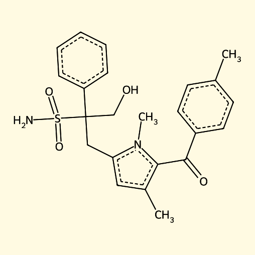 Cc1ccc(C(=O)c2c(C)cc(CC(CO)(c3ccccc3)S(N)(=O)=O)n2C)cc1